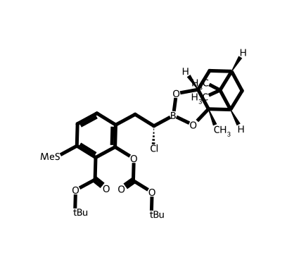 CSc1ccc(C[C@@H](Cl)B2O[C@@H]3C[C@@H]4C[C@@H](C4(C)C)[C@]3(C)O2)c(OC(=O)OC(C)(C)C)c1C(=O)OC(C)(C)C